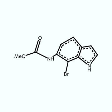 COC(=O)Nc1ccc2cc[nH]c2c1Br